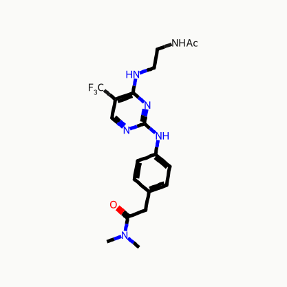 CC(=O)NCCNc1nc(Nc2ccc(CC(=O)N(C)C)cc2)ncc1C(F)(F)F